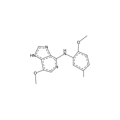 COc1ccc(C)cc1Nc1ncc(OC)c2[nH]cnc12